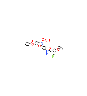 COc1ccc(CC(=O)Nc2ccc(C(=O)N(CC(=O)O)Cc3ccc(OC(=O)c4ccccc4)cc3)cc2)c(C(F)(F)F)c1